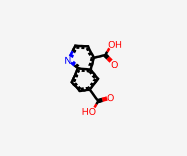 O=C(O)c1ccc2nccc(C(=O)O)c2c1